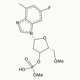 COC[C@H]1O[C@@H](n2cnc3c(C)cc(F)cc32)CC1OP(=O)(O)OC